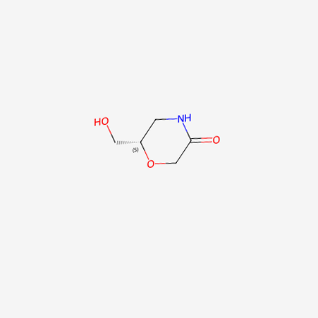 O=C1CO[C@H](CO)CN1